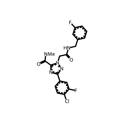 CNC(=O)c1nc(-c2ccc(Cl)c(F)c2)nn1CC(=O)NCc1cccc(F)c1